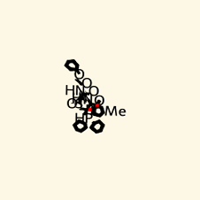 COC(=O)C1N2C(=O)[C@@H](NC(=O)COc3ccccc3)[C@H]2[S@@+]([O-])CC1(Br)C[PH](c1ccccc1)(c1ccccc1)c1ccccc1